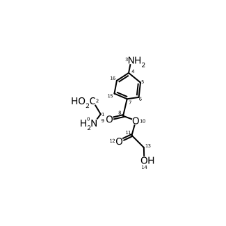 NCC(=O)O.Nc1ccc(C(=O)OC(=O)CO)cc1